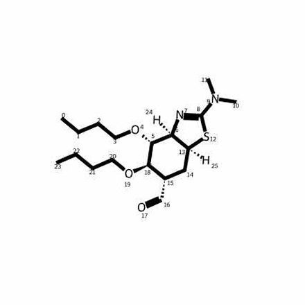 CCCCO[C@@H]1[C@H]2N=C(N(C)C)S[C@H]2C[C@H](C=O)[C@H]1OCCCC